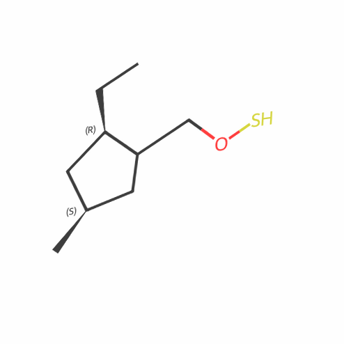 CC[C@@H]1C[C@H](C)CC1COS